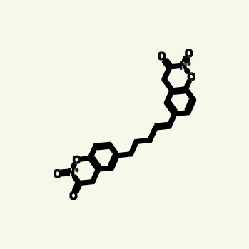 O=C1Cc2cc(C=CCCCc3ccc4c(c3)CC(=O)[N+](=O)O4)ccc2O[N+]1=O